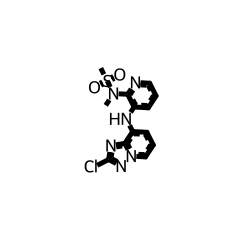 CN(c1ncccc1Nc1cccn2nc(Cl)nc12)S(C)(=O)=O